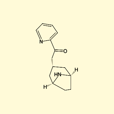 O=C(C[C@@H]1C[C@H]2CC[C@@H](C1)N2)c1ccccn1